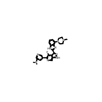 CN1CCN(c2cccc3[nH]c(-c4n[nH]c5cnc(-c6cncc(N(C)C)c6)c(F)c45)nc23)CC1